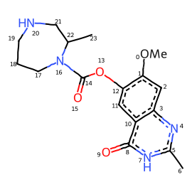 COc1cc2nc(C)[nH]c(=O)c2cc1OC(=O)N1CCCNCC1C